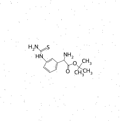 CC(C)(C)OC(=O)C(N)c1cccc(NC(N)=S)c1